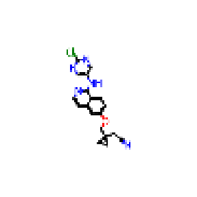 N#CCC1(COc2ccc3c(Nc4cnc(Cl)nc4)nccc3c2)CC1